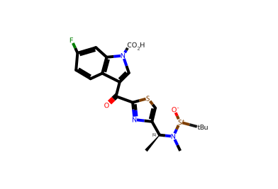 C[C@@H](c1csc(C(=O)c2cn(C(=O)O)c3cc(F)ccc23)n1)N(C)[S+]([O-])C(C)(C)C